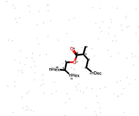 CCCCCCCCCCCCC(C)C(=O)OCC(CCCCCC)CCCCCC